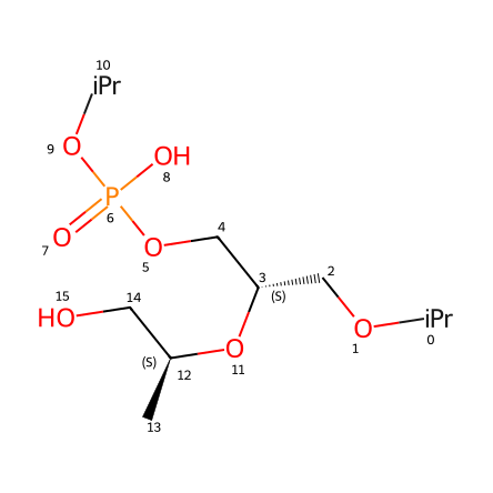 CC(C)OC[C@@H](COP(=O)(O)OC(C)C)O[C@@H](C)CO